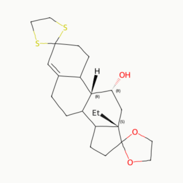 CC[C@]12C[C@@H](O)[C@H]3C4CCC5(C=C4CCC3C1CCC21OCCO1)SCCS5